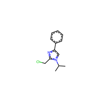 CC(C)n1cc(-c2ccccc2)nc1CCl